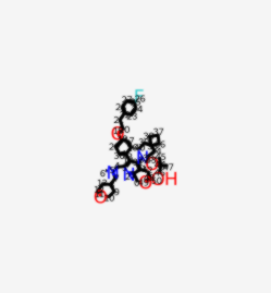 Cc1nc(CN(C)CC2CCOCC2)c(-c2ccc(OCCc3ccc(F)cc3)cc2)c(N2CCC3(CCC3)CC2)c1C(OC(C)(C)C)C(=O)O